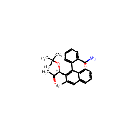 CC(=O)[C@@H](OC(C)(C)C)c1c(C)cc2ccccc2c1-c1ccccc1C(N)=O